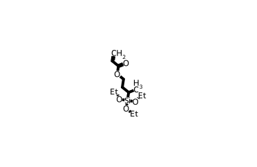 C=CC(=O)OCCC(C)[Si](OCC)(OCC)OCC